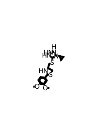 COc1ccc(C2NC(CSC3NNNN3C3CC3)CS2)cc1OC